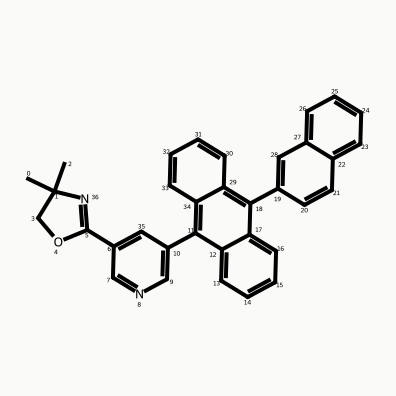 CC1(C)COC(c2cncc(-c3c4ccccc4c(-c4ccc5ccccc5c4)c4ccccc34)c2)=N1